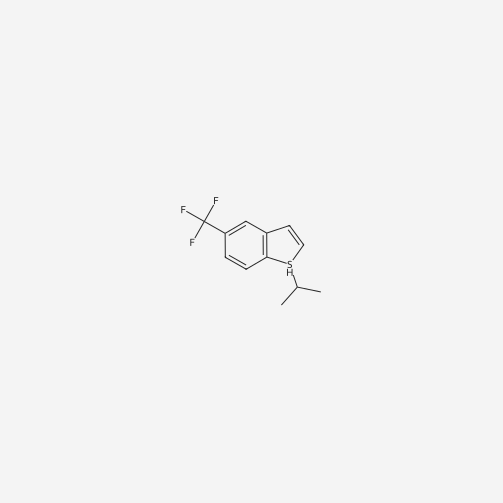 CC(C)[SH]1C=Cc2cc(C(F)(F)F)ccc21